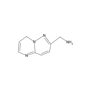 NCC1=NN2CC=CN=C2C=C1